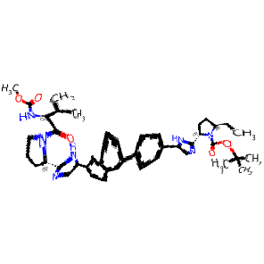 CC[C@@H]1CC[C@@H](c2ncc(-c3ccc(-c4ccc5cc(-c6cnc([C@@H]7CCCN7C(=O)[C@@H](NC(=O)OC)C(C)C)[nH]6)ccc5c4)cc3)[nH]2)N1C(=O)OC(C)(C)C